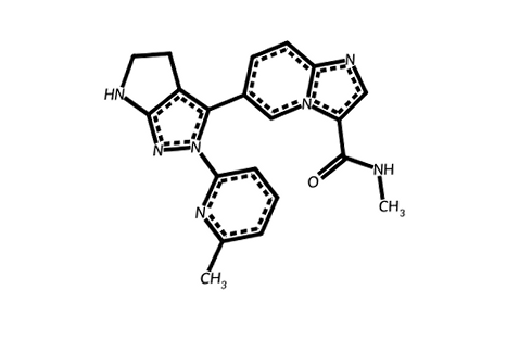 CNC(=O)c1cnc2ccc(-c3c4c(nn3-c3cccc(C)n3)NCC4)cn12